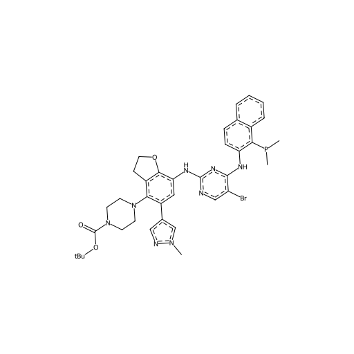 Cn1cc(-c2cc(Nc3ncc(Br)c(Nc4ccc5ccccc5c4P(C)C)n3)c3c(c2N2CCN(C(=O)OC(C)(C)C)CC2)CCO3)cn1